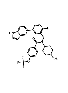 CN1CCC(N(Cc2cc(-c3ccc4[nH]ccc4c3)ccc2F)C(=O)c2ccc(OC(F)(F)F)cc2)CC1